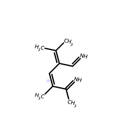 CC(=N)/C(C)=C\C(C=N)=C(C)C